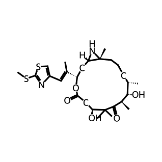 CSc1nc(/C=C(\C)[C@@H]2C[C@@H]3N[C@]3(C)CCC[C@H](C)[C@H](O)[C@@H](C)C(=O)C(C)(C)[C@@H](O)CC(=O)O2)cs1